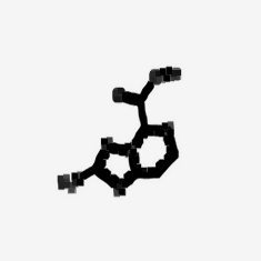 COC(=O)c1nccc2nc(N)nn12